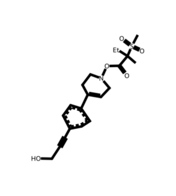 CCC(C)(C(=O)ON1CC=C(c2ccc(C#CCO)cc2)CC1)S(C)(=O)=O